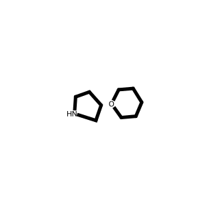 C1CCNC1.C1CCOCC1